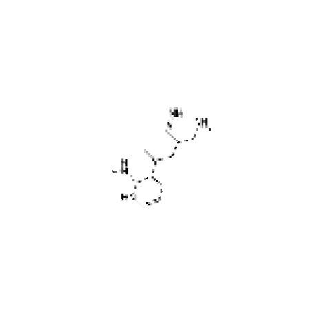 C=C(CC(C=N)CN)C1CC=CN[C@@H]1NC